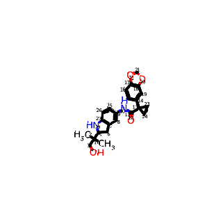 CC(C)(CO)C1Cc2cc(NC(=O)C3(c4ccc5c(c4)OCO5)CC3)ccc2N1